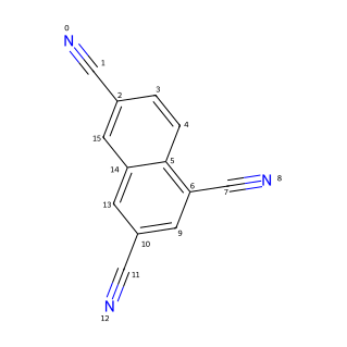 N#Cc1ccc2c(C#N)cc(C#N)cc2c1